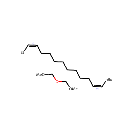 CC/C=C\CCCCCCCC/C=C\CCCC.COCOCOC